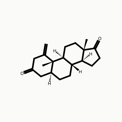 C=C1CC(=O)C[C@@H]2CC[C@@H]3[C@H](CC[C@]4(C)C(=O)CC[C@@H]34)[C@@]12C